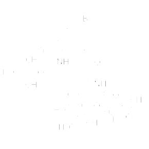 CC(C)(C)OC(=O)Nc1ccc(Br)cc1C(=O)CC(NC(=O)OC(C)(C)C)C(=O)OC(C)(C)C